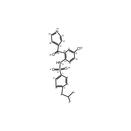 CC(C)Cc1ccc(S(=O)(=O)Nc2ccc(Cl)cc2C(=O)c2ccncc2)cc1